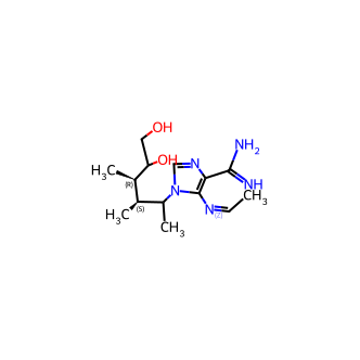 C/C=N\c1c(C(=N)N)ncn1C(C)[C@@H](C)[C@@H](C)C(O)CO